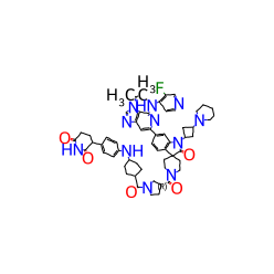 CC(C)n1cnc2cc(-c3ccc4c(c3)N(C3CC(N5CCCCC5)C3)C(=O)C43CCN(C(=O)[C@@H]4CCN(C(=O)C5CCC(Nc6ccc(C7CCC(=O)NC7=O)cc6)CC5)C4)CC3)nc(Nc3ccncc3F)c21